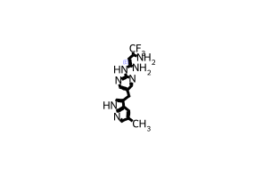 Cc1cnc2[nH]cc(Cc3cnc(N/C(N)=C/C(N)C(F)(F)F)nc3)c2c1